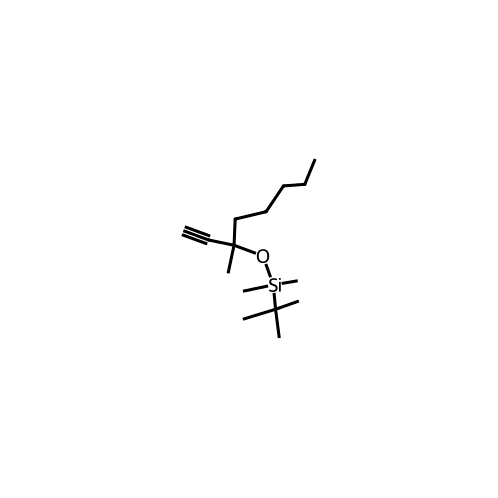 C#CC(C)(CCCCC)O[Si](C)(C)C(C)(C)C